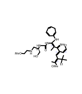 CC\C=C/C(=C\C(=C(/C)OC)C(C)(C)CC)C(=N)/C(C)=C(/NC(=O)N[C@@H](CO)CNCCOC)NC1=CCC=CC=C1